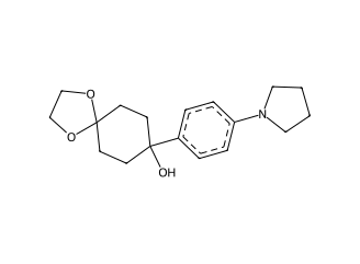 OC1(c2ccc(N3CCCC3)cc2)CCC2(CC1)OCCO2